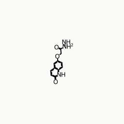 NNC(=O)COc1ccc2[nH]c(=O)ccc2c1